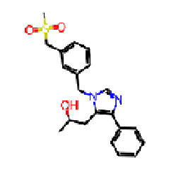 CC(O)Cc1c(-c2ccccc2)ncn1Cc1cccc(CS(C)(=O)=O)c1